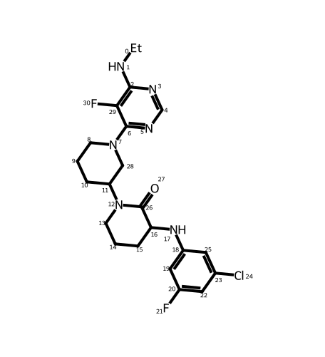 CCNc1ncnc(N2CCCC(N3CCCC(Nc4cc(F)cc(Cl)c4)C3=O)C2)c1F